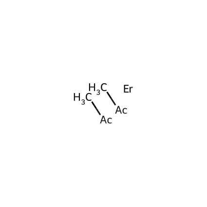 CC(C)=O.CC(C)=O.[Er]